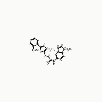 COc1ccccc1-c1nc(C)c(COC(=O)Nc2ccc3c(c2)ncn3C)s1